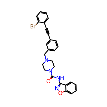 O=C(Nc1noc2ccccc12)N1CCN(Cc2cccc(C#Cc3ccccc3Br)c2)CC1